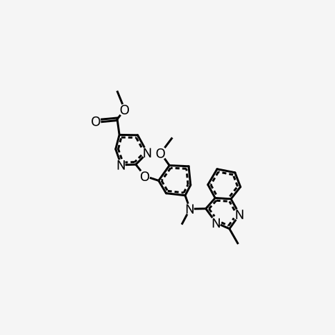 COC(=O)c1cnc(Oc2cc(N(C)c3nc(C)nc4ccccc34)ccc2OC)nc1